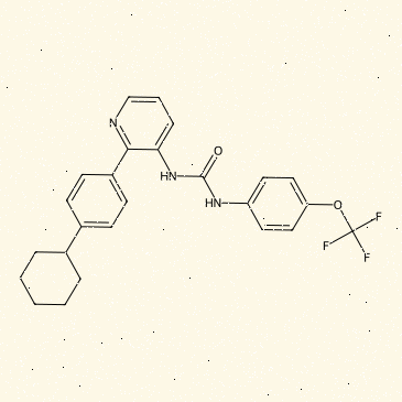 O=C(Nc1ccc(OC(F)(F)F)cc1)Nc1cccnc1-c1ccc(C2CCCCC2)cc1